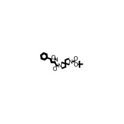 CC(C)(C)OC(=O)N1CCC2(CCN(C(=O)c3cc(-c4ccccc4)on3)C2)C1